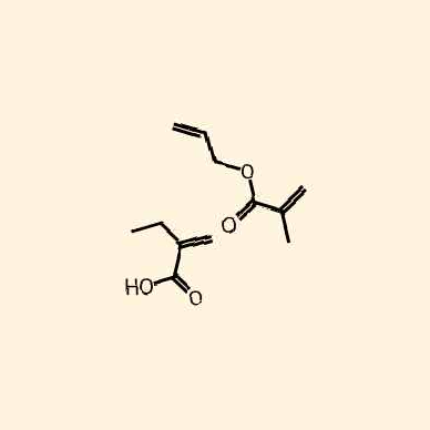 C=C(CC)C(=O)O.C=CCOC(=O)C(=C)C